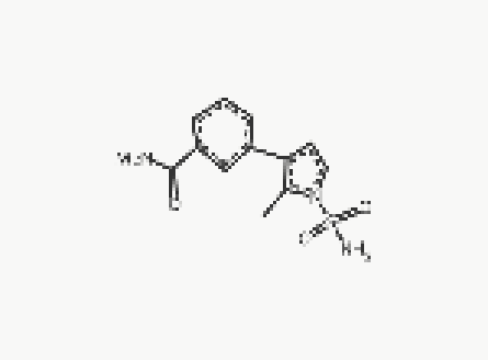 CNC(=O)c1cccc(-c2ccn(S(N)(=O)=O)c2C)c1